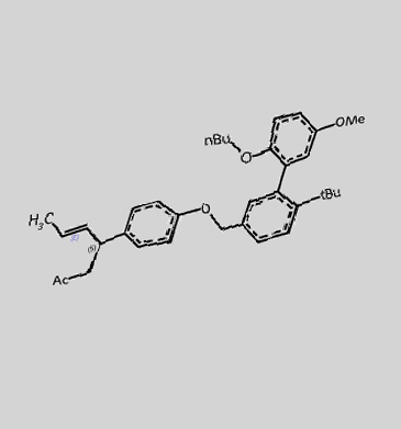 C/C=C/[C@H](CC(C)=O)c1ccc(OCc2ccc(C(C)(C)C)c(-c3cc(OC)ccc3OCCCC)c2)cc1